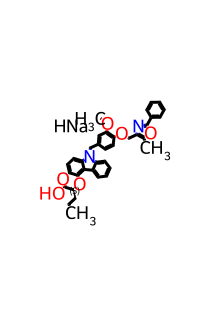 CCC[C@H](Oc1cccc2c1c1ccccc1n2Cc1ccc(OCc2nc(-c3ccccc3)oc2C)c(OC)c1)C(=O)O.[NaH]